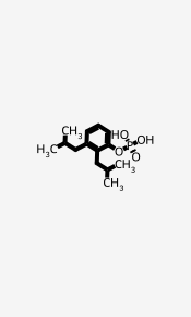 CC(C)Cc1cccc(OP(=O)(O)O)c1CC(C)C